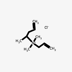 C=CCC(C)[N+](C)(C)CC=C.[Cl-]